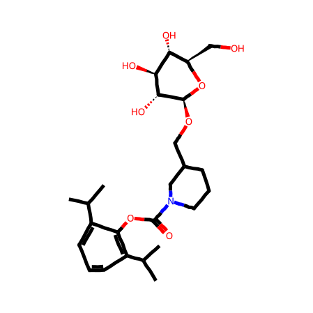 CC(C)c1cccc(C(C)C)c1OC(=O)N1CCCC(CO[C@@H]2O[C@H](CO)[C@@H](O)[C@H](O)[C@H]2O)C1